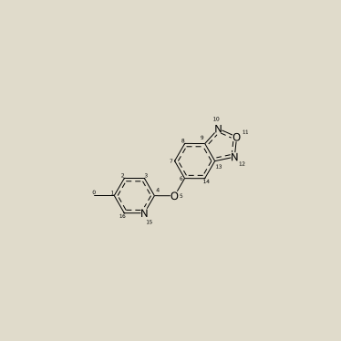 Cc1ccc(Oc2ccc3nonc3c2)nc1